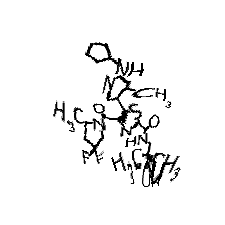 Cc1cc(NC2CCCC2)ncc1-c1sc(C(=O)NCC(C)(C)O)nc1C(=O)N1CC(F)(F)C[C@@H]1C